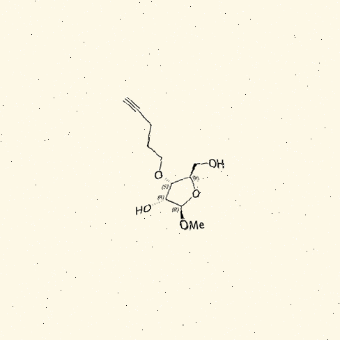 C#CCCCO[C@H]1[C@@H](O)[C@H](OC)O[C@@H]1CO